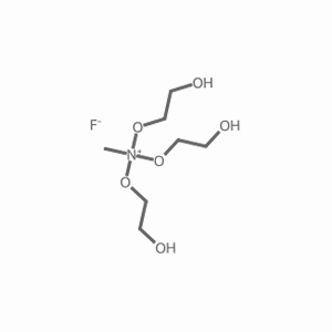 C[N+](OCCO)(OCCO)OCCO.[F-]